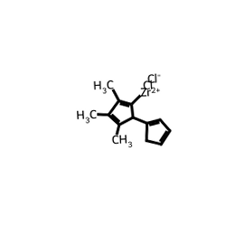 CC1=C(C)C(C2=CC=CC2)[C]([Zr+2])=C1C.[Cl-].[Cl-]